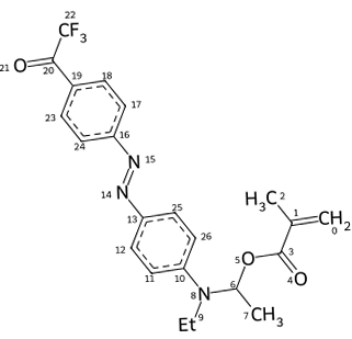 C=C(C)C(=O)OC(C)N(CC)c1ccc(N=Nc2ccc(C(=O)C(F)(F)F)cc2)cc1